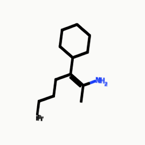 CC(N)=C(CCCC(C)C)C1CCCCC1